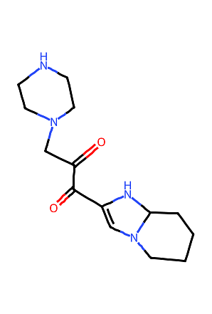 O=C(CN1CCNCC1)C(=O)C1=CN2CCCCC2N1